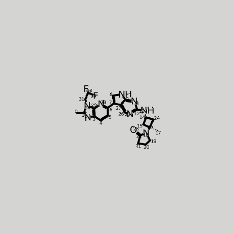 Cc1nc2ccc(-c3c[nH]c4nc(N[C@H]5C[C@](C)(N6CCCC6=O)C5)ncc34)nc2n1CC(F)F